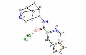 Cl.Cl.O=C(NC1C2CC3CC1CN(C3)C2)c1cc2ccsc2cn1